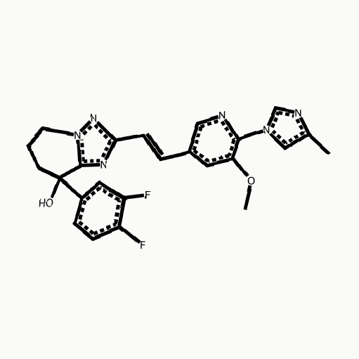 COc1cc(C=Cc2nc3n(n2)CCCC3(O)c2ccc(F)c(F)c2)cnc1-n1cnc(C)c1